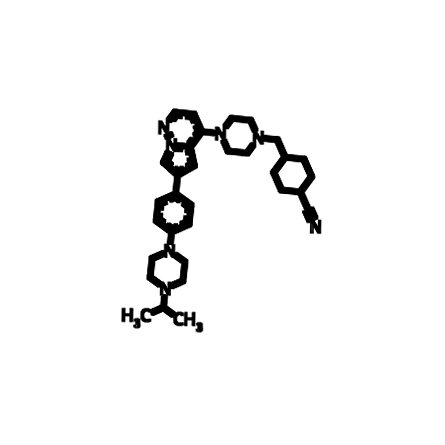 CC(C)N1CCN(c2ccc(-c3cc4c(N5CCN(CC6CCC(C#N)CC6)CC5)ccnn4c3)cc2)CC1